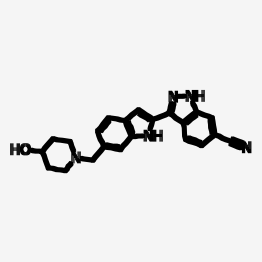 N#Cc1ccc2c(-c3cc4ccc(CN5CCC(O)CC5)cc4[nH]3)n[nH]c2c1